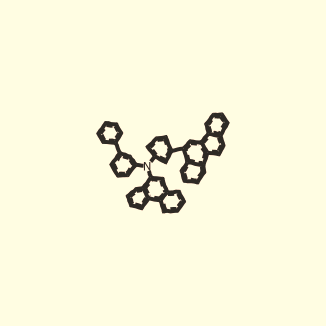 c1ccc(-c2cccc(N(c3cccc(-c4cc5c6ccccc6ccc5c5ccccc45)c3)c3cc4ccccc4c4ccccc34)c2)cc1